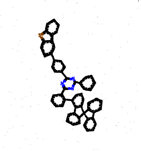 c1ccc(-c2nc(-c3ccc(-c4ccc5sc6ccccc6c5c4)cc3)nc(-c3ccccc3-c3cccc4c3-c3ccccc3C43c4ccccc4-c4ccccc43)n2)cc1